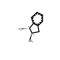 N[C@@H]1Cc2ccccc2[C@H]1N